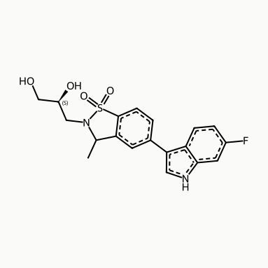 CC1c2cc(-c3c[nH]c4cc(F)ccc34)ccc2S(=O)(=O)N1C[C@H](O)CO